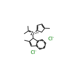 CC1=CC=[C]([Zr+2](=[C](C)C)[CH]2C(C)=Cc3ccccc32)C1.[Cl-].[Cl-]